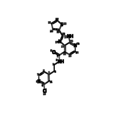 O=C(NCCc1ccnc(Cl)c1)c1ccnc2[nH]c(-c3cccs3)nc12